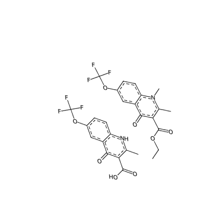 CCOC(=O)c1c(C)n(C)c2ccc(OC(F)(F)F)cc2c1=O.Cc1[nH]c2ccc(OC(F)(F)F)cc2c(=O)c1C(=O)O